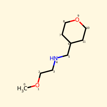 COCCNCC1CCOCC1